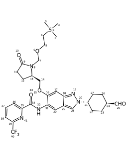 C[Si](C)(C)CCOCN1C(=O)CC[C@@H]1COc1cc2nn([C@H]3CC[C@H](C=O)CC3)cc2cc1NC(=O)c1cccc(C(F)(F)F)n1